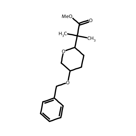 COC(=O)C(C)(C)C1CCC(OCc2ccccc2)CO1